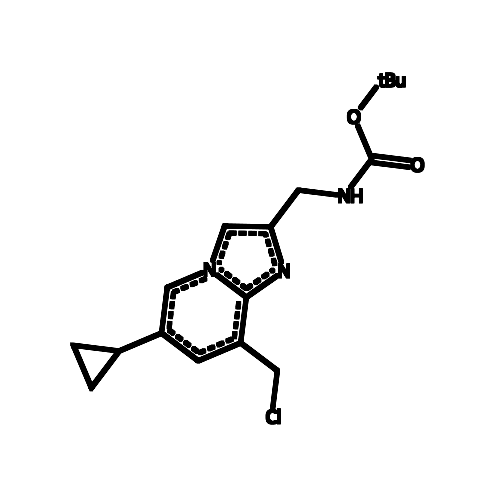 CC(C)(C)OC(=O)NCc1cn2cc(C3CC3)cc(CCl)c2n1